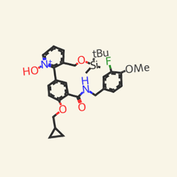 COc1ccc(CNC(=O)c2cc(-c3c(CO[Si](C)(C)C(C)(C)C)ccc[n+]3O)ccc2OCC2CC2)cc1F